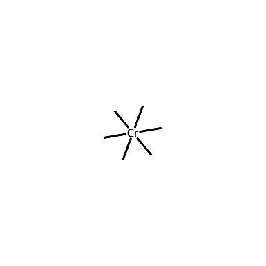 [CH3][Cr]([CH3])([CH3])([CH3])([CH3])[CH3]